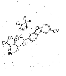 CC(C)CC(NC(c1ccc2c(c1)oc1ccc(C#N)cc12)C(F)(F)F)C(=O)NC1(C#N)CC1.O=C(O)C(F)(F)F